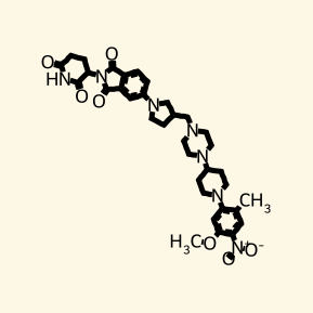 COc1cc(N2CCC(N3CCN(CC4CCN(c5ccc6c(c5)C(=O)N(C5CCC(=O)NC5=O)C6=O)C4)CC3)CC2)c(C)cc1[N+](=O)[O-]